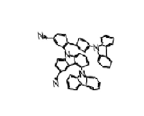 N#Cc1ccc(-c2ccc(-n3c4ccccc4c4ccccc43)cc2)c(-n2c3ccc(C#N)cc3c3c(-n4c5ccccc5c5ccccc54)cccc32)c1